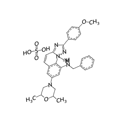 COc1ccc(C2=N[N+]3(C#N)C(=N2)C=Cc2cc(N4CC(C)OC(C)C4)cc(NCc4ccccc4)c23)cc1.O=S(=O)(O)O